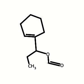 CCC(O[C]=O)C1=CCCCC1